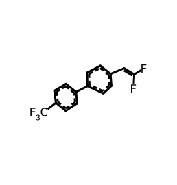 FC(F)=Cc1ccc(-c2ccc(C(F)(F)F)cc2)cc1